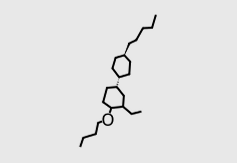 CCCCC[C@H]1CC[C@H](C2CCC(OCCCC)C(CC)C2)CC1